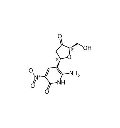 Nc1[nH]c(=O)c([N+](=O)[O-])cc1[C@H]1CC(=O)[C@@H](CO)O1